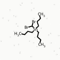 CCC[CH2][Sn]([CH2]CCC)([CH2]CCC)[CH](Br)Br